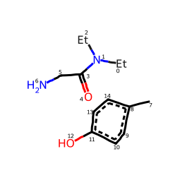 CCN(CC)C(=O)CN.Cc1ccc(O)cc1